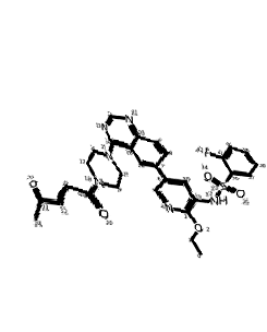 CCOc1ncc(-c2ccc3ncnc(N4CCN(C(=O)/C=C/C(C)=O)CC4)c3c2)cc1NS(=O)(=O)c1ccccc1F